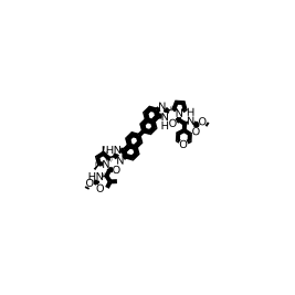 COC(=O)N[C@H](C(=O)N1[C@H](c2nc3ccc4cc(-c5ccc6c(ccc7nc([C@@H]8CCCN8C(=O)[C@@H](NC(=O)OC)C8CCOCC8)[nH]c76)c5)ccc4c3[nH]2)[C@H](C)C[C@@H]1C)C(C)C